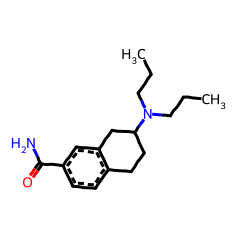 CCCN(CCC)C1CCc2ccc(C(N)=O)cc2C1